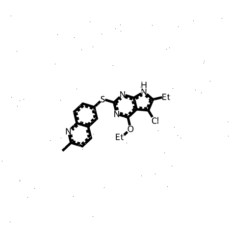 CCOc1nc(Sc2ccc3nc(C)ccc3c2)nc2[nH]c(CC)c(Cl)c12